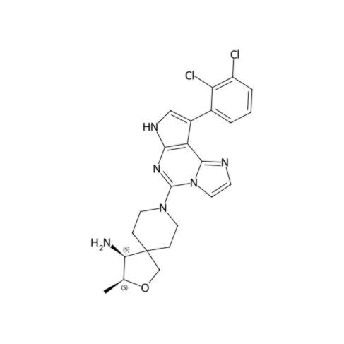 C[C@@H]1OCC2(CCN(c3nc4[nH]cc(-c5cccc(Cl)c5Cl)c4c4nccn34)CC2)[C@@H]1N